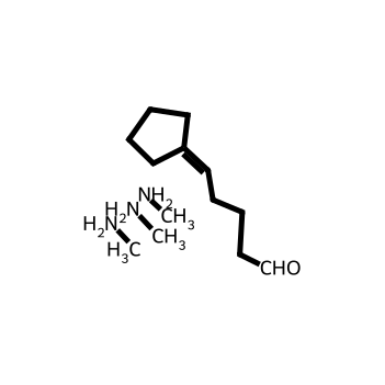 CN.CN.CN.O=CCCCC=C1CCCC1